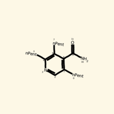 CCCCCc1cnc(CCCCC)c(CCCCC)c1C(N)=O